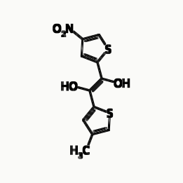 Cc1csc(/C(O)=C(\O)c2cc([N+](=O)[O-])cs2)c1